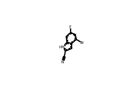 N#Cc1cc2c(Br)cc(F)cc2[nH]1